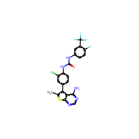 Cc1sc2ncnc(N)c2c1-c1ccc(NC(=O)Nc2ccc(F)c(C(F)(F)F)c2)c(Cl)c1